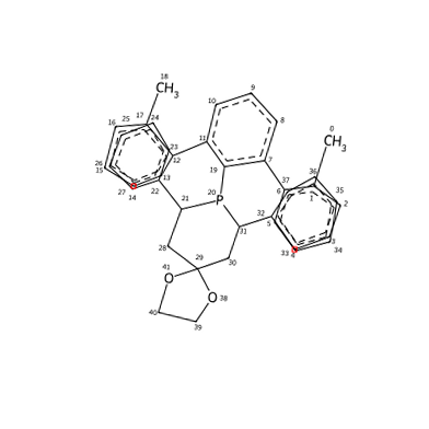 Cc1ccccc1-c1cccc(-c2ccccc2C)c1P1C(c2ccccc2)CC2(CC1c1ccccc1)OCCO2